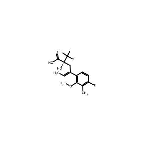 CC=C(C[C@@](O)(C(=O)O)C(F)(F)F)c1ccc(F)c(C)c1OC